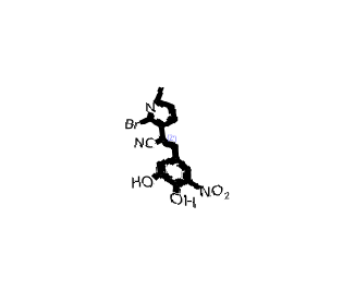 Cc1ccc(/C(C#N)=C/c2cc(O)c(O)c([N+](=O)[O-])c2)c(Br)n1